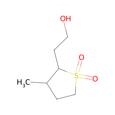 CC1CCS(=O)(=O)C1CCO